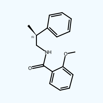 COc1ccccc1C(=O)NC[C@@H](C)c1ccccc1